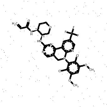 C=CC(=O)N[C@H]1CCOC[C@H]1Nc1ncc2c(n1)-c1cc(C(F)(F)F)cnc1N(c1c(Cl)c(OC)cc(OC)c1Cl)C2